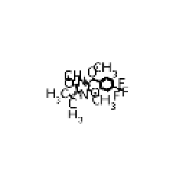 COC1=N[C@H](C(C)C)C(OC)=N[C@H]1C(OC)c1ccc(C(F)(F)F)cc1